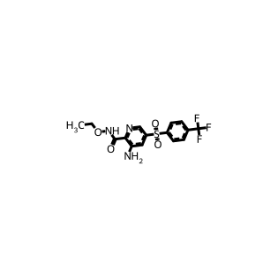 CCONC(=O)c1ncc(S(=O)(=O)c2ccc(C(F)(F)F)cc2)cc1N